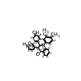 C/C=C(\C=C/N)C(C(=O)c1ccccc1)C(Nc1ccc(C)c(C)c1)c1ccc(C)cc1